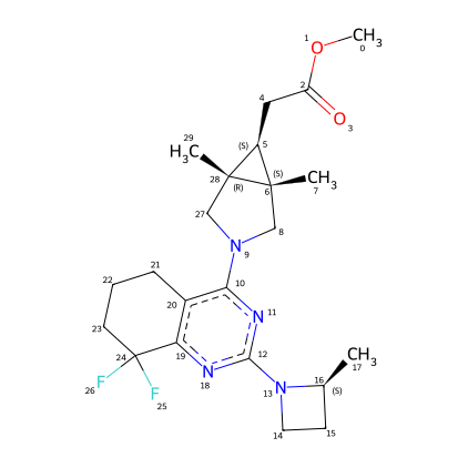 COC(=O)C[C@H]1[C@]2(C)CN(c3nc(N4CC[C@@H]4C)nc4c3CCCC4(F)F)C[C@]12C